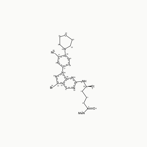 CC[C@@H](CCCC(=O)NC)Nc1ncc2c(Br)nn(-c3ccc(N4CCOCC4)c(C#N)c3)c2n1